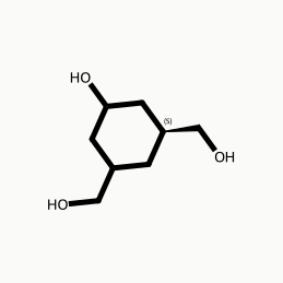 OCC1CC(O)C[C@@H](CO)C1